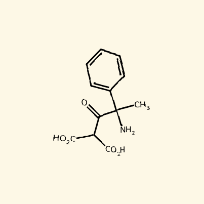 CC(N)(C(=O)C(C(=O)O)C(=O)O)c1ccccc1